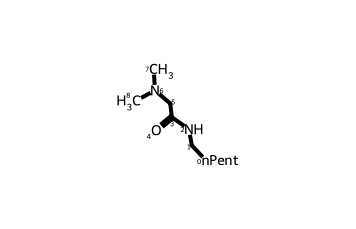 CCCCCCNC(=O)CN(C)C